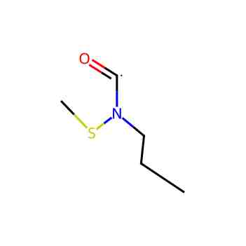 CCCN([C]=O)SC